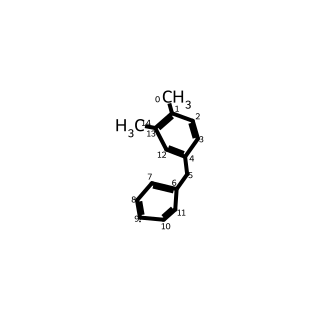 Cc1ccc(Cc2cc[c]cc2)cc1C